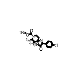 [2H]C1N(C(=O)OC(C)(C)C)CCC2(N=C(c3ccc(Cl)cc3)C(=O)N2[2H])C1([2H])[2H]